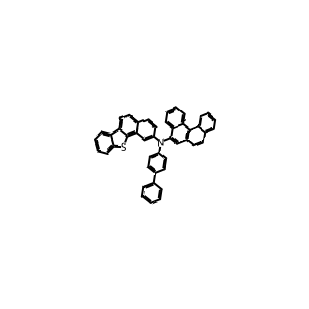 c1ccc(-c2ccc(N(c3ccc4ccc5c6ccccc6sc5c4c3)c3cc4ccc5ccccc5c4c4ccccc34)cc2)cc1